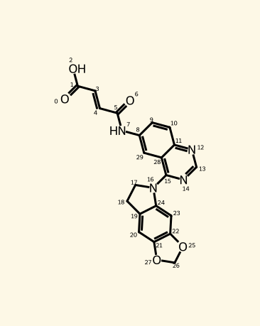 O=C(O)C=CC(=O)Nc1ccc2ncnc(N3CCc4cc5c(cc43)OCO5)c2c1